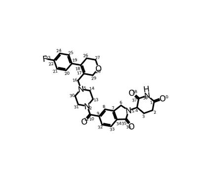 O=C1CCC(N2Cc3cc(C(=O)N4CCN(CC5=C(c6ccc(F)cc6)CCOC5)CC4)ccc3C2=O)C(=O)N1